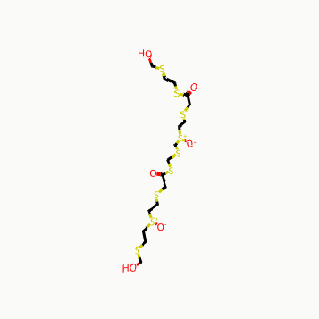 O=C(CSCC[S+]([O-])CSCSC(=O)CSCC[S+]([O-])CCSCO)SCCSCO